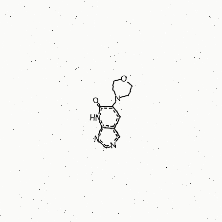 O=c1[nH]c2ncncc2cc1N1CCOCC1